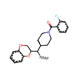 CNC(C1CCN(C(=O)c2ccccc2F)CC1)C1COc2ccccc2O1